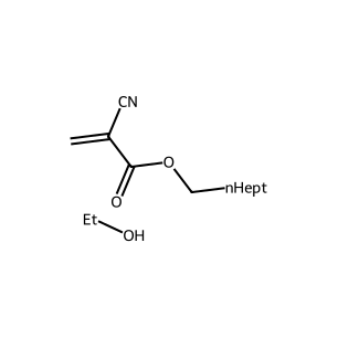 C=C(C#N)C(=O)OCCCCCCCC.CCO